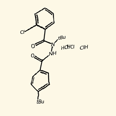 CC(C)(C)c1ccc(C(=O)NN(C(=O)c2ccccc2Cl)C(C)(C)C)cc1.Cl.Cl.Cl